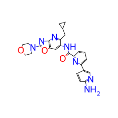 Nc1ccc(-c2cccc(C(=O)Nc3cc4oc(N5CCOCC5)nc4nc3CC3CC3)n2)cn1